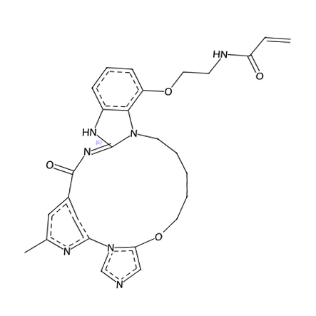 C=CC(=O)NCCOc1cccc2c1N1CCCCCOc3cncn3-c3cc(cc(C)n3)C(=O)/N=C/1N2